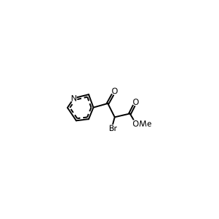 COC(=O)C(Br)C(=O)c1cccnc1